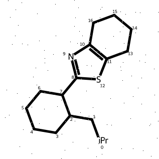 CC(C)CC1CCCCC1c1nc2c(s1)CCCC2